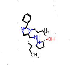 CCCC[C@@H](NN1CCC[C@H]1CO)c1cnc(-c2ccccc2)n1CCCC